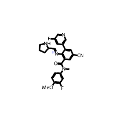 COc1ccc(N(C)C(=O)c2cc(C#N)cc(-c3cncc(F)c3)c2/N=C/C2CCCN2)cc1F